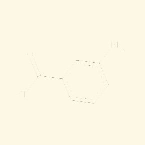 Bc1cccc(C(=O)Cl)c1